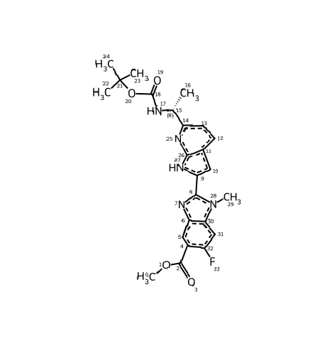 COC(=O)c1cc2nc(-c3cc4ccc([C@@H](C)NC(=O)OC(C)(C)C)nc4[nH]3)n(C)c2cc1F